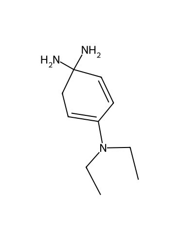 CCN(CC)C1=CCC(N)(N)C=C1